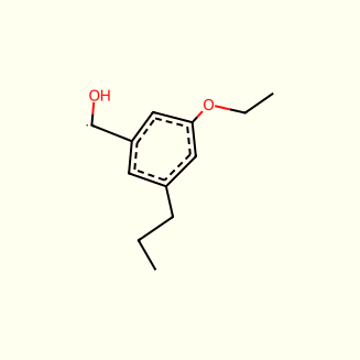 CCCc1cc([CH]O)cc(OCC)c1